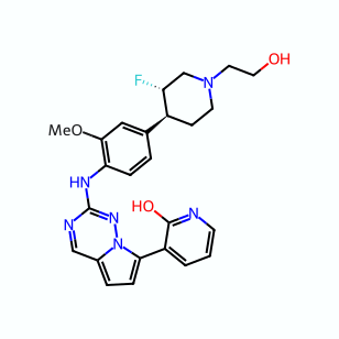 COc1cc([C@@H]2CCN(CCO)C[C@H]2F)ccc1Nc1ncc2ccc(-c3cccnc3O)n2n1